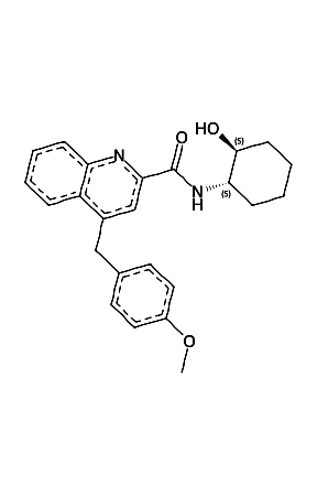 COc1ccc(Cc2cc(C(=O)N[C@H]3CCCC[C@@H]3O)nc3ccccc23)cc1